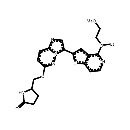 CCN(CCOC)c1nccc2oc(-c3cnc4ccc(OCC5CCC(=O)N5)nn34)cc12